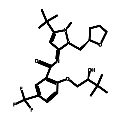 Cn1c(C(C)(C)C)c/c(=N\C(=O)c2cc(C(F)(F)F)ccc2OC[C@@H](O)C(C)(C)C)n1C[C@H]1CCCO1